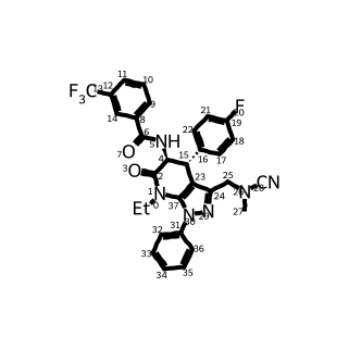 CCN1C(=O)[C@@H](NC(=O)c2cccc(C(F)(F)F)c2)[C@H](c2ccc(F)cc2)c2c(CN(C)C#N)nn(-c3ccccc3)c21